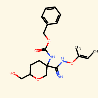 C/C=C(\C)ONC(=N)C1(NC(=O)OCc2ccccc2)CCC(CO)OC1